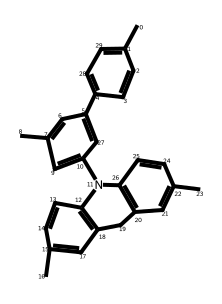 Cc1ccc(-c2cc(C)cc(N3c4ccc(C)cc4Cc4cc(C)ccc43)c2)cc1